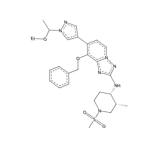 CCOC(C)n1cc(-c2ccn3nc(N[C@H]4CCN(S(C)(=O)=O)C[C@H]4C)nc3c2OCc2ccccc2)cn1